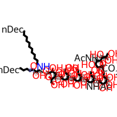 CCCCCCCCCCCCC/C=C/[C@@H](O)[C@H](CO[C@@H]1OC(CO)[C@@H](O[C@@H]2OC(CO)[C@H](O)[C@H](O[C@H]3OC(CO)[C@H](O)[C@H](O[C@@H]4OC(CO)[C@H](O)[C@H](O[C@@H]5OC(CO[C@]6(C(=O)O)CC(O)[C@@H](NC(C)=O)C([C@H](O)[C@H](O)CO)O6)[C@H](O)[C@H](O)C5O)C4NC(C)=O)C3O)C2O)[C@H](O)C1O)NC(=O)CCCCCCCCCCCCCCCCCCCCC